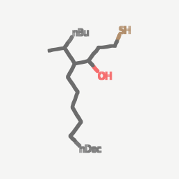 CCCCCCCCCCCCCCCC(C(C)CCCC)C(O)CCS